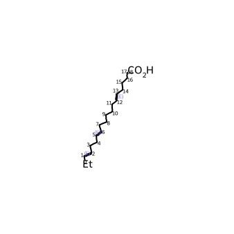 CC/C=C/CC/C=C/CCCCC/C=C/CCCCC(=O)O